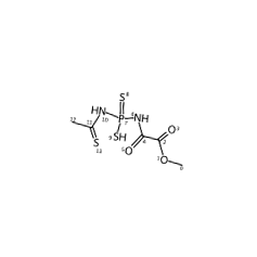 COC(=O)C(=O)NP(=S)(S)NC(C)=S